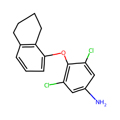 Nc1cc(Cl)c(Oc2cccc3c2CCCC3)c(Cl)c1